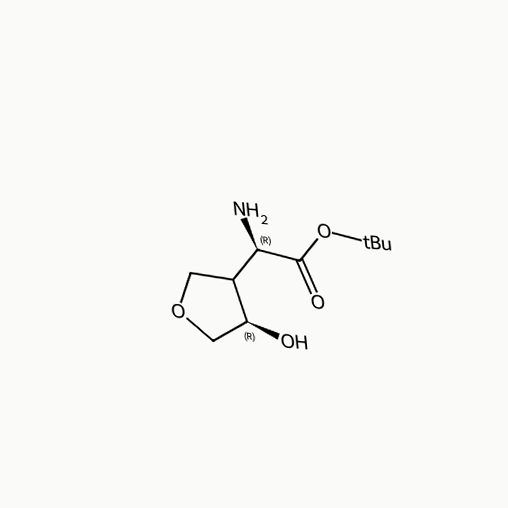 CC(C)(C)OC(=O)[C@H](N)C1COC[C@@H]1O